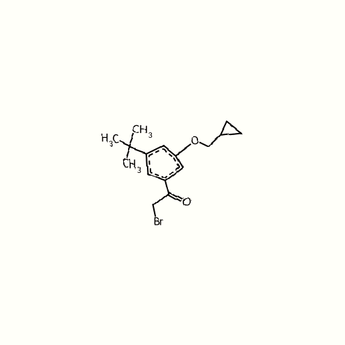 CC(C)(C)c1cc(OCC2CC2)cc(C(=O)CBr)c1